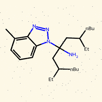 CCCCC(CC)CC(N)(CC(CC)CCCC)n1nnc2c(C)cccc21